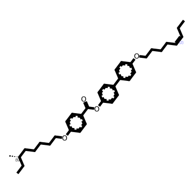 CC/C=C\CCCCOc1ccc(-c2ccc(OC(=O)c3ccc(OCCCCC[C@@H](C)CC)cc3)cc2)cc1